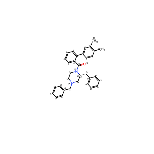 Cc1ccc(-c2ccccc2C(=O)N2CCN(Cc3ccccc3)C[C@H]2Cc2ccccc2)cc1C